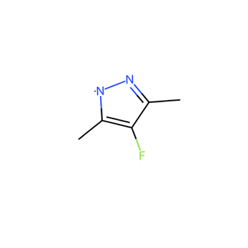 CC1=N[N]C(C)=C1F